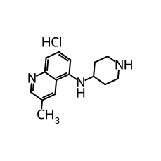 Cc1cnc2cccc(NC3CCNCC3)c2c1.Cl